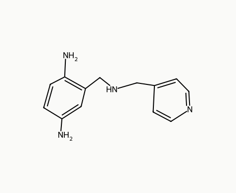 Nc1ccc(N)c(CNCc2ccncc2)c1